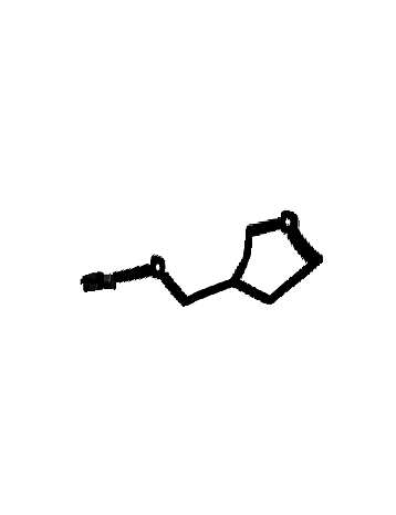 CC(C)(C)OCC1CCOC1